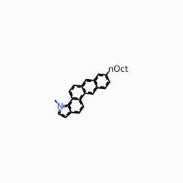 CCCCCCCCc1ccc2cc3c(ccc4c3ccc3ccn(C)c34)cc2c1